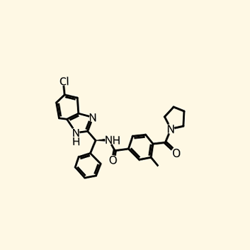 Cc1cc(C(=O)N[C@@H](c2ccccc2)c2nc3cc(Cl)ccc3[nH]2)ccc1C(=O)N1CCCC1